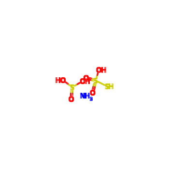 N.O=S(=O)(O)S.O=S(O)O